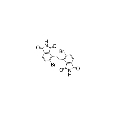 O=C1NC(=O)c2c1ccc(Br)c2CCc1c(Br)ccc2c1C(=O)NC2=O